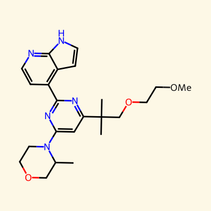 COCCOCC(C)(C)c1cc(N2CCOCC2C)nc(-c2ccnc3[nH]ccc23)n1